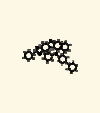 c1ccc(-c2ccc(N(c3ccccc3)c3cccc4oc5cc6nc(-c7ccccc7)oc6cc5c34)c(-c3ccccc3)c2)cc1